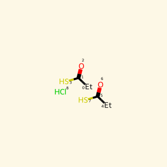 CCC(=O)S.CCC(=O)S.Cl